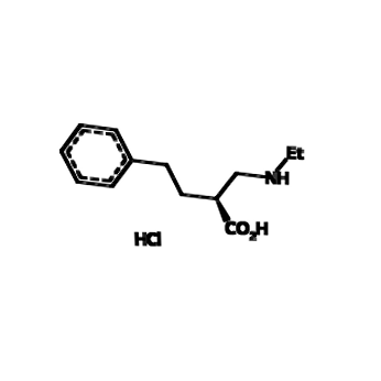 CCNC[C@H](CCc1ccccc1)C(=O)O.Cl